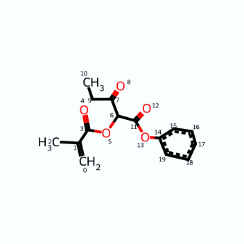 C=C(C)C(=O)OC(C(=O)CC)C(=O)Oc1ccccc1